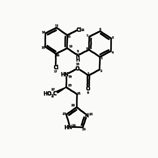 O=C(Cc1ccccc1Nc1c(Cl)cccc1Cl)ON[C@@H](Cc1c[nH]cn1)C(=O)O